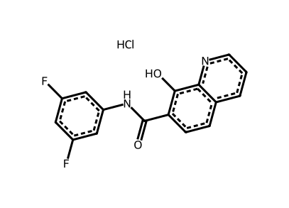 Cl.O=C(Nc1cc(F)cc(F)c1)c1ccc2cccnc2c1O